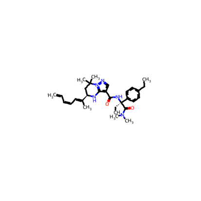 C=C/C=C\C=C(/C)[C@H]1CC(C)(C)n2ncc(C(=O)N[C@](CC)(C(=O)N(C)C)c3ccc(CC)cc3)c2N1